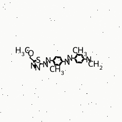 C=Nc1ccc(/N=N/c2ccc(/N=N/c3nnc(COC)s3)c(C)c2)c(C)c1